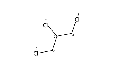 Cl[CH]C(Cl)CCl